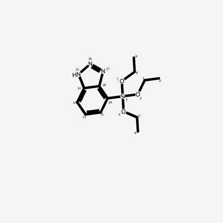 CCO[Si](OCC)(OCC)c1cccc2[nH]nnc12